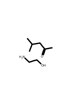 CC(=O)CC(C)C.NCCO